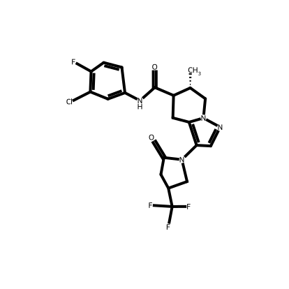 C[C@@H]1Cn2ncc(N3CC(C(F)(F)F)CC3=O)c2CC1C(=O)Nc1ccc(F)c(Cl)c1